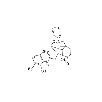 Cc1ccc(O)c(NC(=O)CC[C@]2(C)C(=O)C=CC34CC5CC(OC5(c5ccccc5)C3)C42)c1O